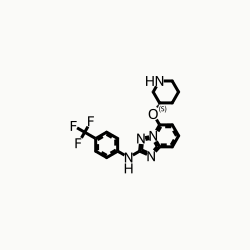 FC(F)(F)c1ccc(Nc2nc3cccc(O[C@H]4CCCNC4)n3n2)cc1